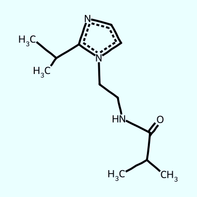 CC(C)C(=O)NCCn1ccnc1C(C)C